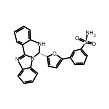 NS(=O)(=O)c1cccc(-c2ccc([C@H]3Nc4ccccc4-c4nc5ccccc5n43)o2)c1